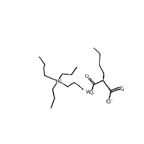 CCCCC(C(=O)[O-])C(=O)O.CCC[N+](CCC)(CCC)CCC